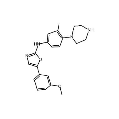 COc1cccc(-c2cnc(Nc3ccc(N4CCNCC4)c(C)c3)o2)c1